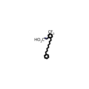 O=C(O)/C=C/c1cc(C(F)(F)F)ccc1CCCCCCCCc1ccccc1